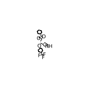 O=S(=O)(CC[C@@H](Oc1ccc(C(F)(F)F)cc1)[C@H]1CCNC1)c1ccccc1